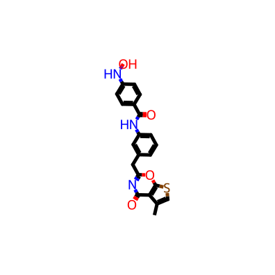 Cc1csc2oc(Cc3cccc(NC(=O)c4ccc(NO)cc4)c3)nc(=O)c12